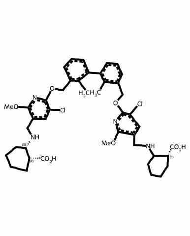 COc1nc(OCc2cccc(-c3cccc(COc4nc(OC)c(CN[C@H]5CCCC[C@H]5C(=O)O)cc4Cl)c3C)c2C)c(Cl)cc1CNC1CCCC[C@H]1C(=O)O